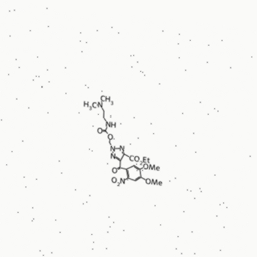 CCOC(=O)c1nn(COC(=O)NCCN(C)C)nc1C(=O)c1cc(OC)c(OC)cc1[N+](=O)[O-]